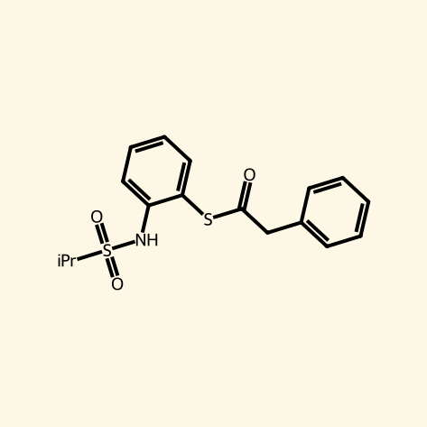 CC(C)S(=O)(=O)Nc1ccccc1SC(=O)Cc1ccccc1